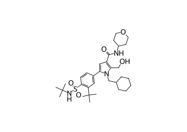 CC(C)(C)NS(=O)(=O)c1ccc(-c2cc(C(=O)NC3CCOCC3)c(CO)n2CC2CCCCC2)cc1C(C)(C)C